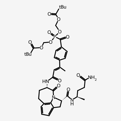 C/C(=C\C(=O)N[C@H]1CCc2cccc3c2N(C1=O)[C@H](C(=O)N[C@H](C)CCC(N)=O)C3)c1ccc(C(=O)P(=O)(OCOC(=O)C(C)(C)C)OCOC(=O)C(C)(C)C)cc1